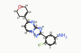 Nc1ccc(F)c(-c2nc3nc(C4=CCOCC4)ccn3n2)c1